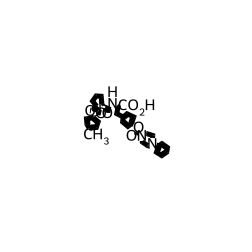 Cc1ccc(S(=O)(=O)N2CCC[C@H]2C(=O)N[C@@H](Cc2ccc(OC(=O)N3CCN(c4ccccc4)CC3)cc2)C(=O)O)cc1